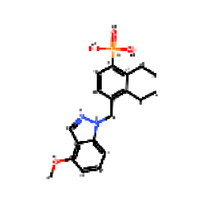 CCc1c(Cn2ncc3c(OC)cccc32)ccc(P(=O)(O)O)c1CC